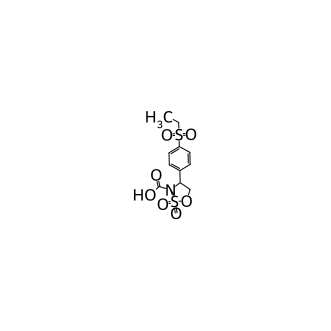 CCS(=O)(=O)c1ccc(C2COS(=O)(=O)N2C(=O)O)cc1